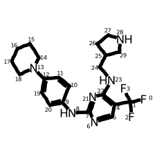 FC(F)(F)c1cnc(Nc2ccc(N3CCCCC3)cc2)nc1NCC1CCNC1